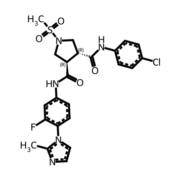 Cc1nccn1-c1ccc(NC(=O)[C@H]2CN(S(C)(=O)=O)C[C@@H]2C(=O)Nc2ccc(Cl)cc2)cc1F